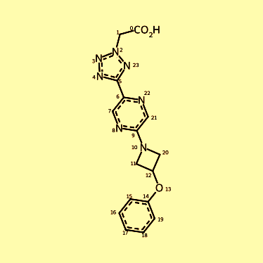 O=C(O)Cn1nnc(-c2cnc(N3CC(Oc4ccccc4)C3)cn2)n1